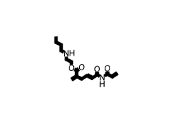 C=CC(=O)NC(=O)C=CCC(=C)C(=O)OCCNCCCC